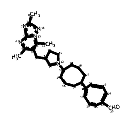 Cc1nc2nc(C)c(CC3CCN(C4CCCC(C5=C/C=C\C(C=O)=C/C=C\5)CCC4)C3)c(C)n2n1